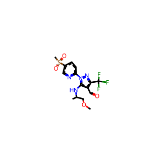 COCC(C)Nc1c(C=O)c(C(F)(F)F)nn1-c1ccc(S(C)(=O)=O)cn1